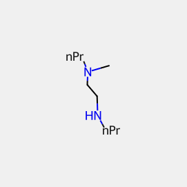 CCCNCCN(C)CCC